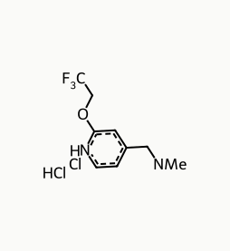 CNCc1ccnc(OCC(F)(F)F)c1.Cl.Cl